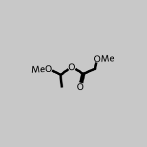 COCC(=O)OC(C)OC